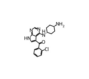 N[C@H]1CC[C@H](Nc2ncnc3[nH]cc(C(=O)c4ccccc4Cl)c23)CC1